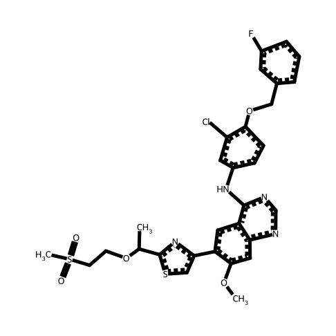 COc1cc2ncnc(Nc3ccc(OCc4cccc(F)c4)c(Cl)c3)c2cc1-c1csc(C(C)OCCS(C)(=O)=O)n1